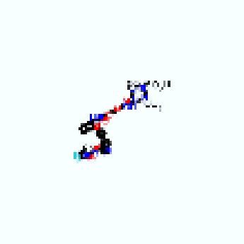 N#C[C@@H]1CC(F)(F)CN1C(=O)CNC(=O)c1ccnc2ccc(-c3ccc(OC[C@H](Cc4ccc5ccccc5c4)NC(=O)COCCOCCNC(=O)CN4CCN(CC(=O)O)CCN(CC(=O)O)CCN(CC(=O)O)CC4)cc3)cc12